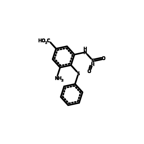 Nc1cc(C(=O)O)cc(N[SH](=O)=O)c1Sc1ccccc1